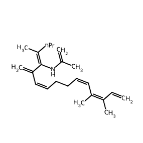 C=C/C(C)=C(C)\C=C/CC/C=C\C(=C)/C(NC(=C)C)=C(\C)CCC